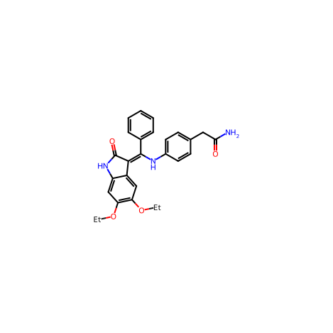 CCOc1cc2c(cc1OCC)C(=C(Nc1ccc(CC(N)=O)cc1)c1ccccc1)C(=O)N2